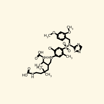 COc1ccc(CN(c2ncns2)S(=O)(=O)c2cc(Cl)c(NCC(CC(C)(C)CCNC(=O)O)C(C)NC(=O)O)cc2C)c(OC)c1